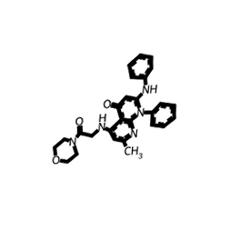 Cc1cc(NCC(=O)N2CCOCC2)c2c(=O)cc(Nc3ccccc3)n(-c3ccccc3)c2n1